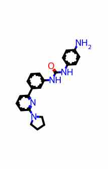 Nc1ccc(NC(=O)Nc2cccc(-c3cccc(N4CCCC4)n3)c2)cc1